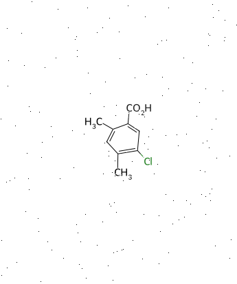 Cc1cc(C)c(C(=O)O)cc1Cl